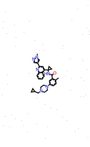 Cc1ccc(N2CCN(CC3CC3)CC2)cc1C(=O)NC1(c2cc(-c3cnn(C)c3)nc3ccccc23)CC1